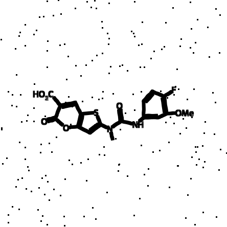 COc1cc(NC(=O)N(C)c2cc3oc(=O)c(C(=O)O)cc3s2)ccc1F